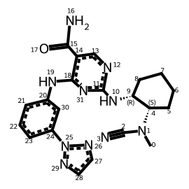 CN(C#N)[C@H]1CCCC[C@H]1Nc1ncc(C(N)=O)c(Nc2cccc(-n3nccn3)c2)n1